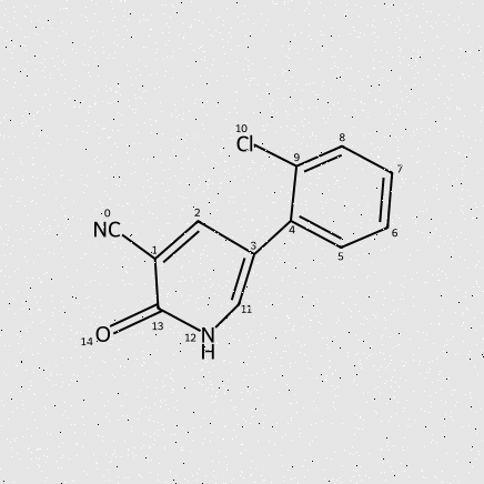 N#Cc1cc(-c2ccccc2Cl)c[nH]c1=O